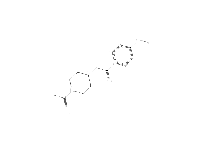 COc1ccc(C(=O)CC2CCN(C(C)=O)CC2)cc1